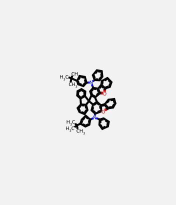 CC(C)(C)c1ccc(N(c2ccccc2)c2cc3c(c4c2oc2ccccc24)-c2c(cc(N(c4ccccc4)c4ccc(C(C)(C)C)cc4)c4c2oc2ccccc24)C32c3ccccc3-c3ccccc32)cc1